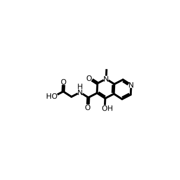 Cn1c(=O)c(C(=O)NCC(=O)O)c(O)c2ccncc21